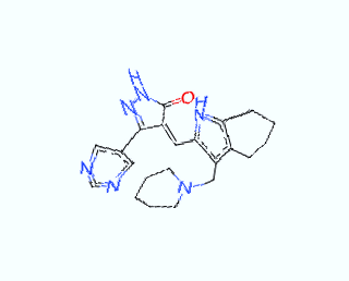 O=C1NN=C(c2cncnc2)C1=Cc1[nH]c2c(c1CN1CCCCC1)CCCC2